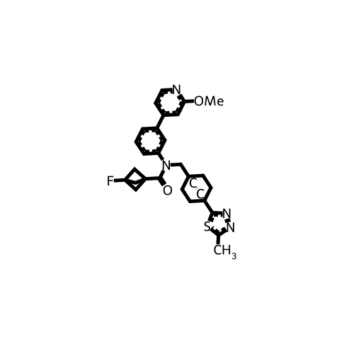 COc1cc(-c2cccc(N(CC34CCC(c5nnc(C)s5)(CC3)CC4)C(=O)C34CC(F)(C3)C4)c2)ccn1